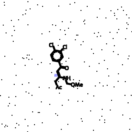 COCN/C(=C\C(=O)c1ccc(Cl)c(Cl)c1)CC(C)=O